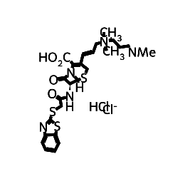 CNCCC[N+](C)(C)CC=CC1=C(C(=O)O)N2C(=O)[C@@H](NC(=O)CSc3nc4ccccc4s3)[C@H]2SC1.Cl.[Cl-]